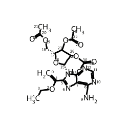 C=C(OCC)c1nc2c(N)ncnc2n1[C@@H]1O[C@H](COC(C)=O)C(OC(C)=O)C1OC(C)=O